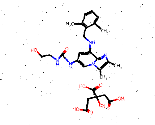 Cc1cccc(C)c1CNc1cc(NC(=O)NCCO)cn2c(C)c(C)nc12.O=C(O)CC(O)(CC(=O)O)C(=O)O